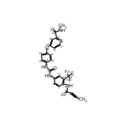 CC#CC(=O)Nc1ccc(NC(=O)Nc2ccc(Oc3ccnc(C(=O)NC)c3)cc2)cc1C(F)(F)F